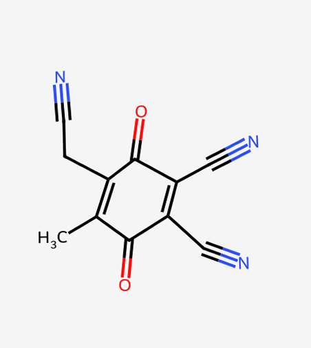 CC1=C(CC#N)C(=O)C(C#N)=C(C#N)C1=O